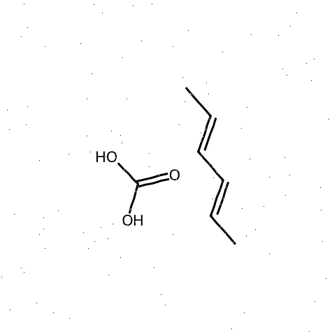 CC=CC=CC.O=C(O)O